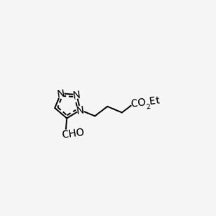 CCOC(=O)CCCn1nncc1C=O